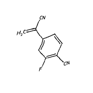 C=C(C#N)c1ccc(C#N)c(F)c1